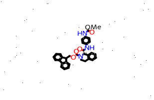 COC(=O)Nc1ccc(NC(=O)[C@@H]2c3ccccc3CCN2C(=O)OCC2c3ccccc3-c3ccccc32)cc1